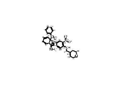 NC(=O)C1C=CC=CC1(Oc1ccccc1)S(=O)(=O)c1ccc(NCC2CCOCC2)c([N+](=O)[O-])c1